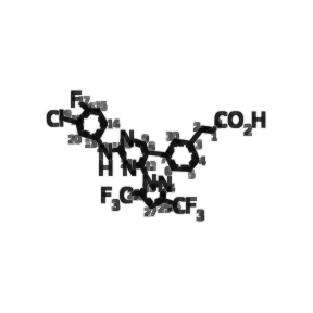 O=C(O)C=Cc1cccc(-c2cnc(Nc3ccc(F)c(Cl)c3)nc2-n2nc(C(F)(F)F)cc2C(F)(F)F)c1